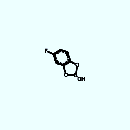 OB1Oc2ccc(F)cc2O1